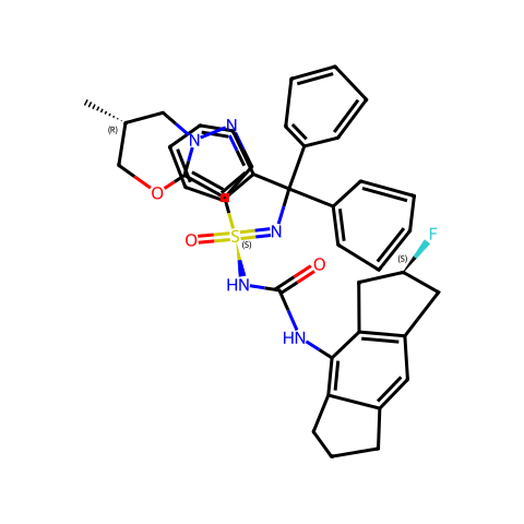 C[C@H]1COc2c([S@@](=O)(=NC(c3ccccc3)(c3ccccc3)c3ccccc3)NC(=O)Nc3c4c(cc5c3C[C@@H](F)C5)CCC4)cnn2C1